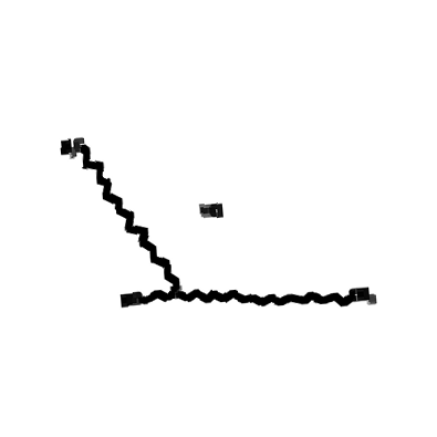 CCCCCCCCCCCCCCCCCCN(CCCO)CCCCCCCCCCCCCCCCCC.Cl